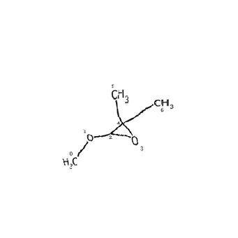 COC1OC1(C)C